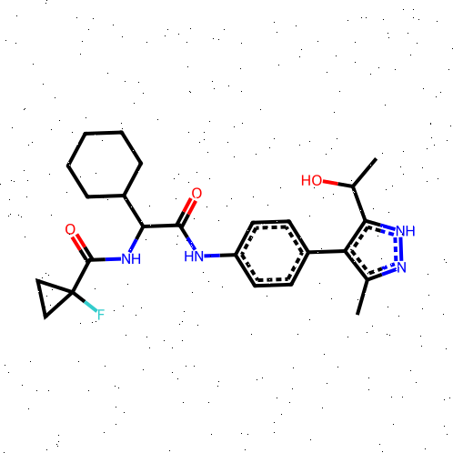 Cc1n[nH]c(C(C)O)c1-c1ccc(NC(=O)C(NC(=O)C2(F)CC2)C2CCCCC2)cc1